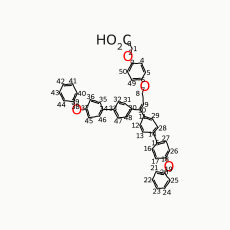 O=C(O)COc1ccc(OCC=C(c2ccc(-c3ccc(Oc4ccccc4)cc3)cc2)c2ccc(-c3ccc(Oc4ccccc4)cc3)cc2)cc1